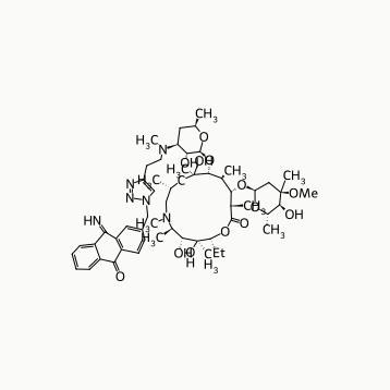 CC[C@H]1OC(=O)[C@H](C)[C@@H](O[C@H]2C[C@@](C)(OC)[C@@H](O)[C@H](C)O2)[C@H](C)[C@@H](O[C@@H]2O[C@H](C)C[C@H](N(C)CCc3cn(Cc4ccc5c(c4)C(=N)c4ccccc4C5=O)nn3)[C@H]2O)[C@](C)(O)C[C@@H](C)CN(C)[C@H](C)[C@@H](O)[C@]1(C)O